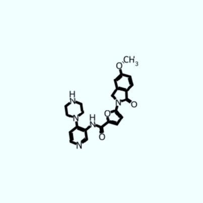 COc1ccc2c(c1)CN(c1ccc(C(=O)Nc3cnccc3N3CCNCC3)o1)C2=O